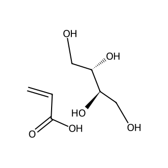 C=CC(=O)O.OC[C@@H](O)[C@@H](O)CO